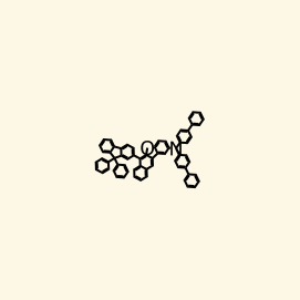 c1ccc(-c2ccc(N(c3ccc(-c4ccccc4)cc3)c3ccc4oc5c(-c6ccc7c(c6)C(c6ccccc6)(c6ccccc6)c6ccccc6-7)c6ccccc6cc5c4c3)cc2)cc1